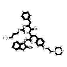 CCCCOC(=O)NC(Cc1ccccc1)C(O)CC(Cc1ccc(OCCN2CCOCC2)cc1)C(=O)NC1c2ccccc2CC1O